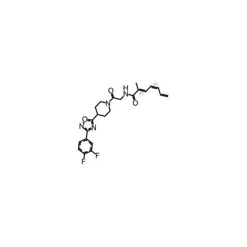 C=C/C=C\C=C(/C)C(=O)NCC(=O)N1CCC(c2nc(-c3ccc(F)c(F)c3)no2)CC1